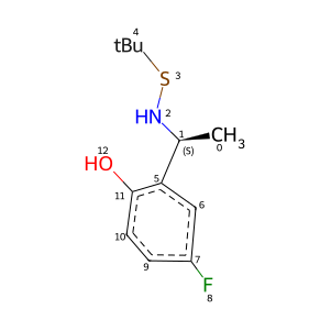 C[C@H](NSC(C)(C)C)c1cc(F)ccc1O